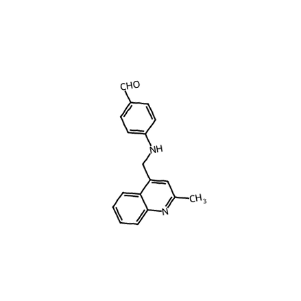 Cc1cc(CNc2ccc(C=O)cc2)c2ccccc2n1